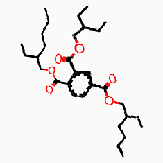 CCCCC(CC)COC(=O)c1ccc(C(=O)OCC(CC)CCCC)c(C(=O)OCC(CC)CC)c1